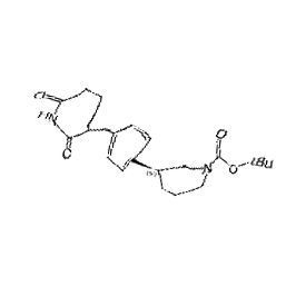 CC(C)(C)OC(=O)N1CCC[C@@H](c2ccc(C3CCC(=O)NC3=O)cc2)C1